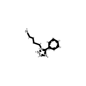 [N]CCCCn1nnnc1-c1ccccc1